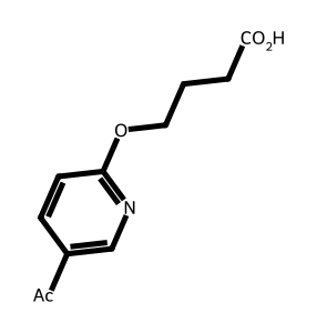 CC(=O)c1ccc(OCCCC(=O)O)nc1